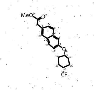 COC(=O)Cc1ccc2cc(O[C@H]3CC[C@@H](C(F)(F)F)CC3)ccc2c1